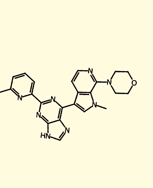 Cc1cccc(-c2nc(-c3cn(C)c4c(N5CCOCC5)nccc34)c3nc[nH]c3n2)n1